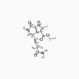 CCOC(=O)c1c(C)[nH]c2c(=O)n(C)cc(C#CC(C)(C)C(=O)N(C)C)c12